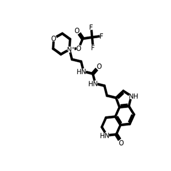 O=C(NCCc1c[nH]c2ccc3c(c12)CCNC3=O)NCC[N+]1(OC(=O)C(F)(F)F)CCOCC1